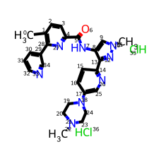 Cc1ccc(C(=O)Nc2cn(C)nc2-c2ccc(N3CCN(C)CC3)cn2)nc1-c1cccnc1.Cl.Cl